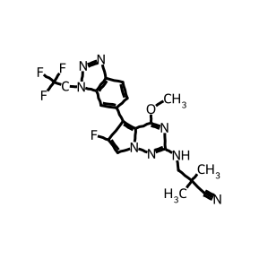 COc1nc(NCC(C)(C)C#N)nn2cc(F)c(-c3ccc4nnn(CC(F)(F)F)c4c3)c12